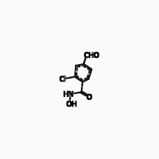 O=Cc1ccc(C(=O)NO)c(Cl)c1